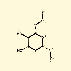 CC(C)OC[C@@H]1O[C@H](OC(C)C)C[C@H](O)[C@H]1O